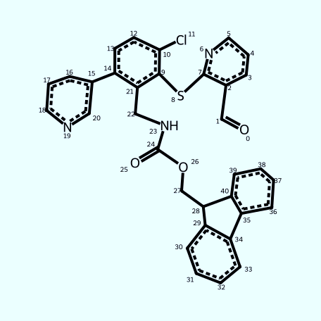 O=Cc1cccnc1Sc1c(Cl)ccc(-c2cccnc2)c1CNC(=O)OCC1c2ccccc2-c2ccccc21